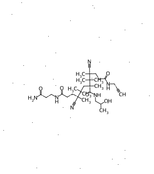 C#CCNC(=O)CCC(C)(C#N)C(C)(C)C(C)(CC(C)(C)C(C)(C#N)CCC(=O)NCCC(N)=O)C(=O)NCC(C)O